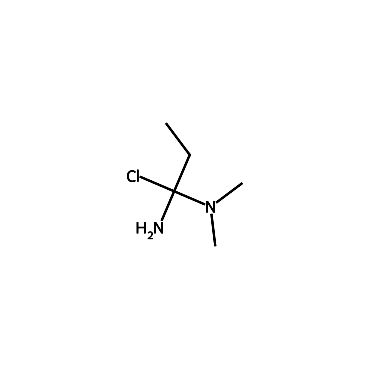 CCC(N)(Cl)N(C)C